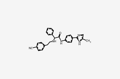 Cc1cnc(-c2ccc(NC(=O)C(NCCc3ccc(C#N)cc3)c3ccccc3)cc2)[nH]1